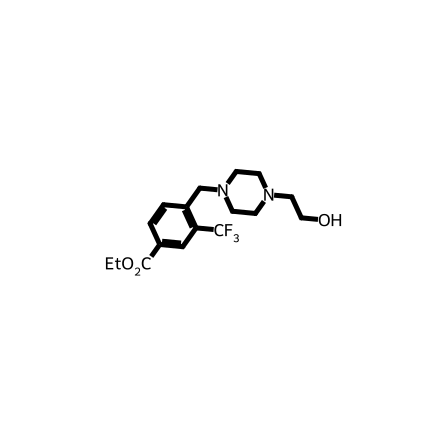 CCOC(=O)c1ccc(CN2CCN(CCO)CC2)c(C(F)(F)F)c1